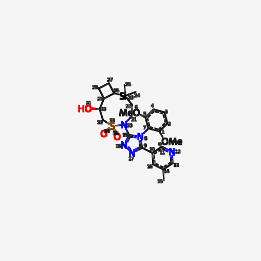 COc1cccc(OC)c1-n1c(-c2cncc(C)c2)nnc1N1CC[Si](C)(C)C2CCC2[C@H](O)CS1(=O)=O